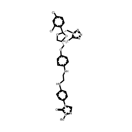 CCC(C)n1ncn(-c2ccc(NCCNc3ccc(OC[C@@H]4CO[C@@](Cn5nnnc5C)(c5ccc(Cl)cc5Cl)O4)cc3)cc2)c1=O